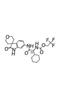 O=C(N[C@H](C(=O)Nc1ccc2c(c1)NC(=O)C21CCOCC1)C1CCCCC1)OCC(F)(F)F